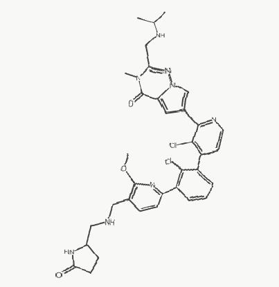 COc1nc(-c2cccc(-c3ccnc(-c4cc5c(=O)n(C)c(CNC(C)C)nn5c4)c3Cl)c2Cl)ccc1CNCC1CCC(=O)N1